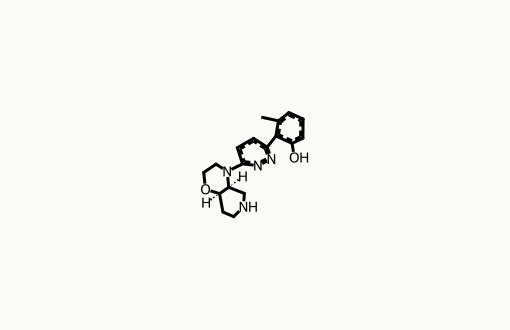 Cc1cccc(O)c1-c1ccc(N2CCO[C@@H]3CCNC[C@@H]32)nn1